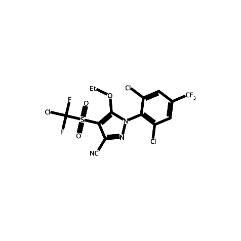 CCOc1c(S(=O)(=O)C(F)(F)Cl)c(C#N)nn1-c1c(Cl)cc(C(F)(F)F)cc1Cl